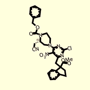 COC(=O)C1(Cc2nc(Cl)nc(N3CCN(C(=O)OCc4ccccc4)[C@@H](CC#N)C3)c2[N+](=O)[O-])CCc2ccccc21